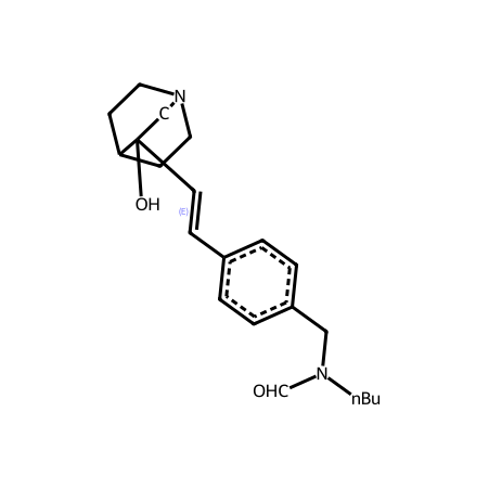 CCCCN(C=O)Cc1ccc(/C=C/C2(O)CN3CCC2CC3)cc1